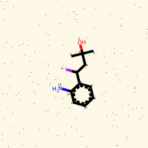 CC(C)(O)CC(I)c1ccccc1N